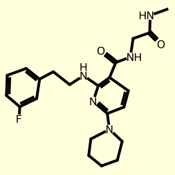 CNC(=O)CNC(=O)c1ccc(N2CCCCC2)nc1NCCc1cccc(F)c1